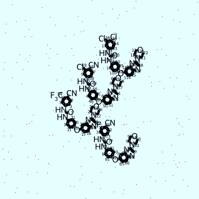 N#Cc1ccc(NC(=O)Nc2ccc(Oc3ccc4ncc(N5CCOCC5)nc4c3)cc2)cc1C(F)(F)F.N#Cc1ccc(NC(=O)Nc2ccc(Oc3ccc4ncc(N5CCOCC5)nc4c3)cc2)cc1Cl.N#Cc1ccc(NC(=O)Nc2ccc(Oc3ccc4ncc(N5CCOCC5)nc4c3)cc2)cc1F.O=C(Nc1ccc(Oc2ccc3ncc(N4CCOCC4)nc3c2)cc1)Nc1ccc(Cl)c(Cl)c1